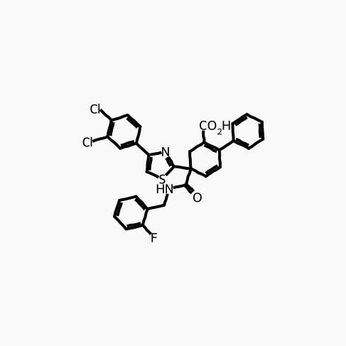 O=C(O)C1=C(c2ccccc2)C=CC(C(=O)NCc2ccccc2F)(c2nc(-c3ccc(Cl)c(Cl)c3)cs2)C1